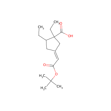 CCC1CC(=CC(=O)OC(C)(C)C)CC1(CC)C(=O)O